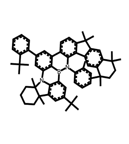 Cc1ccccc1N1B2c3cc(C(C)(C)C)cc4c3N(c3cc(-c5ccccc5C(C)(C)C)cc(c32)-c2ccc3c(c21)-c1cc2c(cc1C3(C)C)C(C)(C)CCC2(C)C)C1(C)CCCCC41C